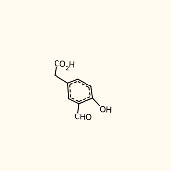 O=Cc1cc(CC(=O)O)ccc1O